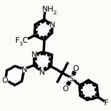 CC(C)(c1cc(-c2cnc(N)cc2C(F)(F)F)nc(N2CCOCC2)n1)S(=O)(=O)c1ccc(F)cc1